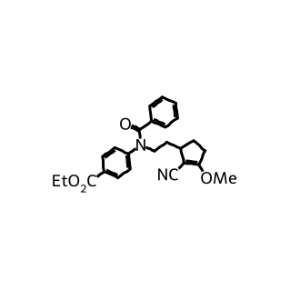 CCOC(=O)c1ccc(N(CCC2CCC(OC)=C2C#N)C(=O)c2ccccc2)cc1